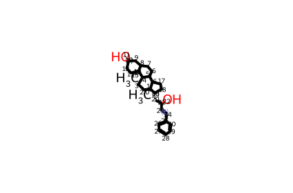 CC12CCC3C(CCC4C[C@@H](O)CC[C@@]43C)C1CC[C@@H]2CC(O)/C=C/c1ccccc1